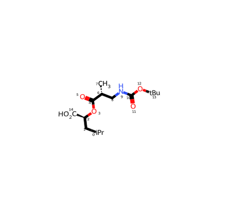 CC(C)C[C@H](OC(=O)[C@H](C)CNC(=O)OC(C)(C)C)C(=O)O